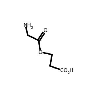 NCC(=O)OCCC(=O)O